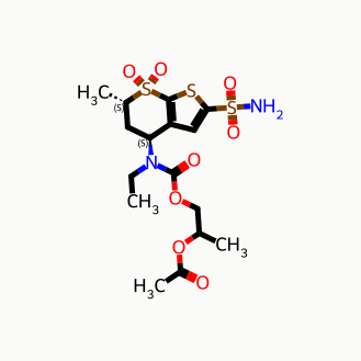 CCN(C(=O)OCC(C)OC(C)=O)[C@H]1C[C@H](C)S(=O)(=O)c2sc(S(N)(=O)=O)cc21